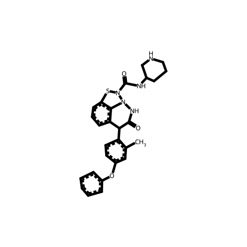 Cc1cc(Oc2ccccc2)ccc1C1C(=O)NN2c3c(cccc31)SN2C(=O)NC1CCCNC1